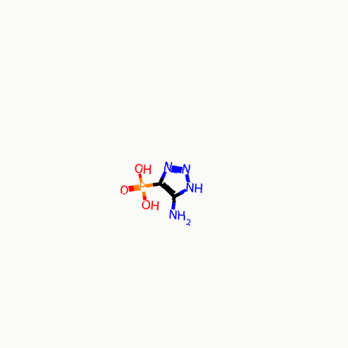 Nc1[nH]nnc1P(=O)(O)O